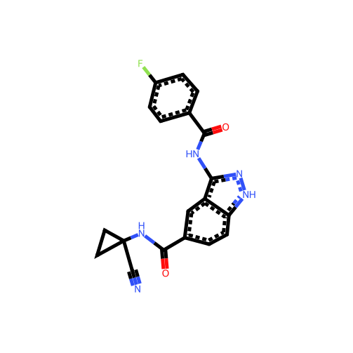 N#CC1(NC(=O)c2ccc3[nH]nc(NC(=O)c4ccc(F)cc4)c3c2)CC1